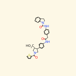 O=C(Cc1ccc(NC(=O)N2CCc3ccccc32)cc1)Nc1ccc(C2CN(C(=O)c3cccs3)CC2C(=O)O)cc1